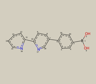 OB(O)c1ccc(-c2ccc(-c3ccccn3)nc2)cc1